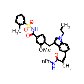 C=CCn1cc(Cc2ccc(C(=O)NS(=O)(=O)c3ccccc3C)cc2OC)c2cc(C=C(C)C(=O)NCCC)ccc21